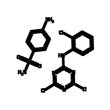 Clc1nc(Cl)nc(Nc2ccccc2Cl)n1.Nc1ccc(S(N)(=O)=O)cc1